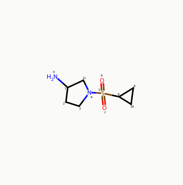 NC1CCN(S(=O)(=O)C2CC2)C1